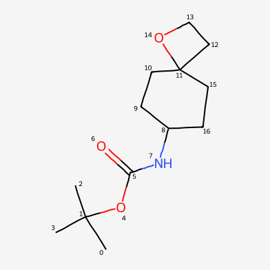 CC(C)(C)OC(=O)NC1CCC2(CCO2)CC1